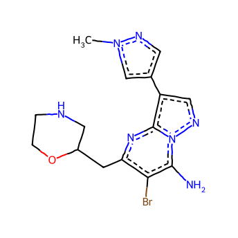 Cn1cc(-c2cnn3c(N)c(Br)c(CC4CNCCO4)nc23)cn1